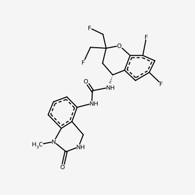 CN1C(=O)NCc2c(NC(=O)N[C@@H]3CC(CF)(CF)Oc4c(F)cc(F)cc43)cccc21